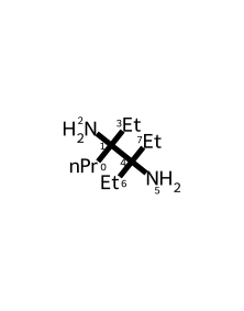 CCCC(N)(CC)C(N)(CC)CC